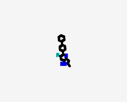 Cc1cc2nc(-c3ccc(-c4ccccc4)cc3)c(F)cc2[nH]1